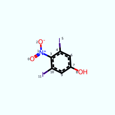 O=[N+]([O-])c1c(I)cc(O)cc1I